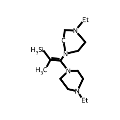 CCN1CCN(C(=C(C)[SiH3])N2CCN(CC)CC2)CC1